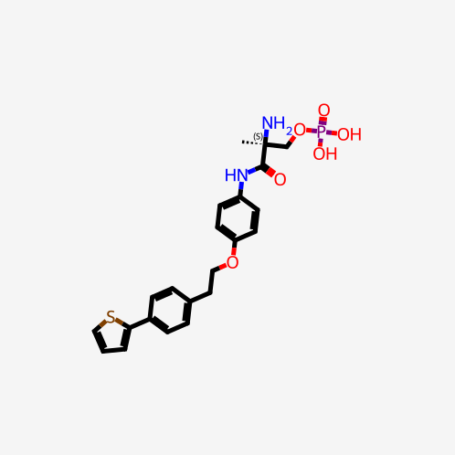 C[C@](N)(COP(=O)(O)O)C(=O)Nc1ccc(OCCc2ccc(-c3cccs3)cc2)cc1